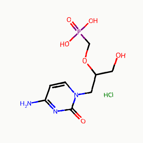 Cl.Nc1ccn(CC(CO)OCP(=O)(O)O)c(=O)n1